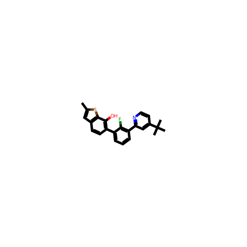 Cc1cc2ccc(-c3cccc(-c4cc(C(C)(C)C)ccn4)c3F)c(O)c2s1